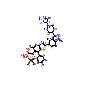 Cc1cc2nc(-c3ccc4c(c3)c(C3CCN(C5CNC5)CC3)nn4C)sc2c(-c2ccc(Cl)cc2)c1[C@H](OC(C)(C)C)C(=O)O